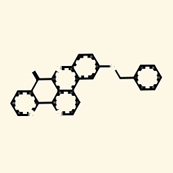 O=C1c2cccnc2-c2nccc3c2c1nc1ccc(NCc2ccccc2)cc13